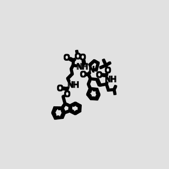 COC(=O)C(CCCNC(=O)OCC1c2ccccc2-c2ccccc21)NC(=O)[C@@H]1CCCN1C(=O)C(/C=C/C(CC(C)C)NC(=O)OC(C)(C)C)Cc1ccccc1